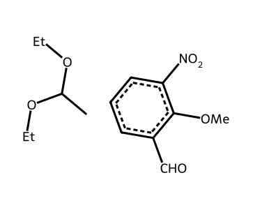 CCOC(C)OCC.COc1c(C=O)cccc1[N+](=O)[O-]